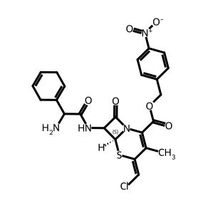 CC1=C(C(=O)OCc2ccc([N+](=O)[O-])cc2)N2C(=O)C(NC(=O)C(N)C3=CCC=CC3)[C@@H]2SC1=CCl